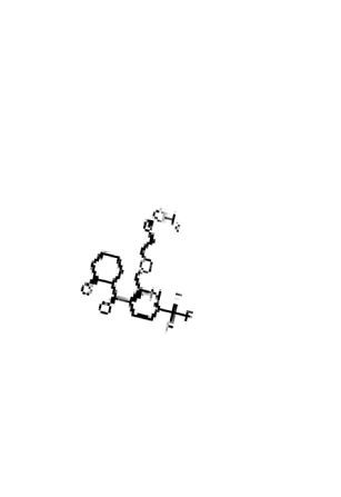 COCCOCc1nc(C(F)(F)F)ccc1C(=O)C1CCCCC1=O